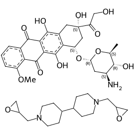 C1OC1CN1CCC(C2CCN(CC3CO3)CC2)CC1.COc1cccc2c1C(=O)c1c(O)c3c(c(O)c1C2=O)C[C@@](O)(C(=O)CO)C[C@@H]3O[C@H]1C[C@H](N)[C@@H](O)[C@H](C)O1